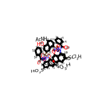 CC(=O)Nc1ccc(S(=O)(=O)Oc2cc(S(=O)(=O)O)cc3cc(S(=O)(=O)O)cc(NC(=O)c4ccccc4)c23)c2cc(S(=O)(=O)Oc3cc(S(=O)(=O)O)cc4cc(S(=O)(=O)O)cc(NC(=O)c5ccccc5)c34)cc(O)c12